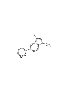 Cn1cc(I)c2cc(-c3cccnn3)ccc21